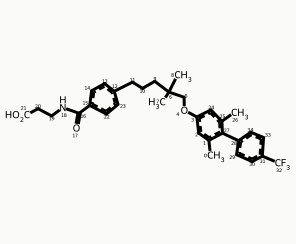 Cc1cc(OCC(C)(C)CCCc2ccc(C(=O)NCCC(=O)O)cc2)cc(C)c1-c1ccc(C(F)(F)F)cc1